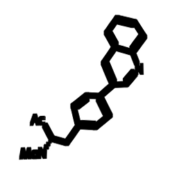 CN[C@@H](Cc1ccc(-c2cnc3ccccc3c2)cc1)C(C)=O